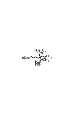 Br.Br.C=CCC(CCCCCCCCCCCCCC)(CN(C)C)N(C)C